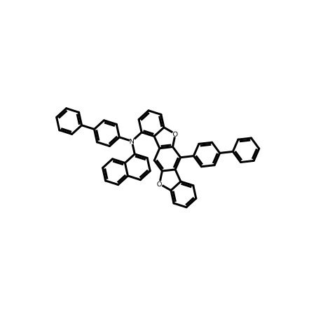 c1ccc(-c2ccc(-c3c4oc5cccc(N(c6ccc(-c7ccccc7)cc6)c6cccc7ccccc67)c5c4cc4oc5ccccc5c34)cc2)cc1